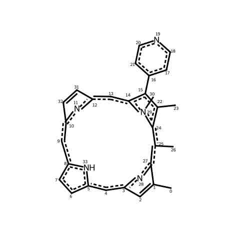 CC1=Cc2cc3ccc(cc4nc(cc5c(-c6ccncc6)c(C)c(c(C)c1n2)n5C)C=C4)[nH]3